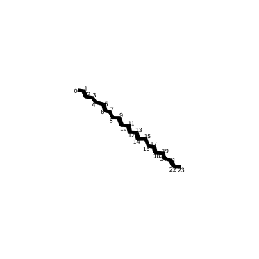 C/C=C/CC/C=C/CC/C=C/C=C/C=C/CC/C=C/CC/C=C/C